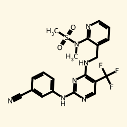 CN(c1ncccc1CNc1nc(Nc2cccc(C#N)c2)ncc1C(F)(F)F)S(C)(=O)=O